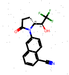 N#Cc1cccc2cc(N3C(=O)CC[C@@H]3[C@H](O)C(F)(F)F)ccc12